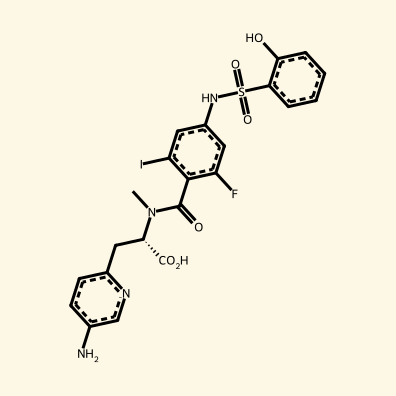 CN(C(=O)c1c(F)cc(NS(=O)(=O)c2ccccc2O)cc1I)[C@@H](Cc1ccc(N)cn1)C(=O)O